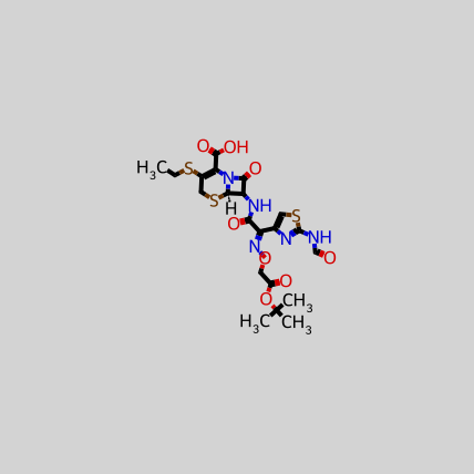 CCSC1=C(C(=O)O)N2C(=O)C(NC(=O)/C(=N/OCC(=O)OC(C)(C)C)c3csc(NC=O)n3)[C@H]2SC1